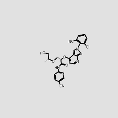 C[C@H](CO)OC[C@H](Oc1ncnc2nn(-c3c(Cl)cccc3C#N)cc12)C(=O)Nc1ccc(C#N)cn1